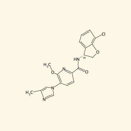 COc1nc(C(=O)N[C@H]2COc3c(Cl)cccc32)ccc1-n1cnc(C)c1